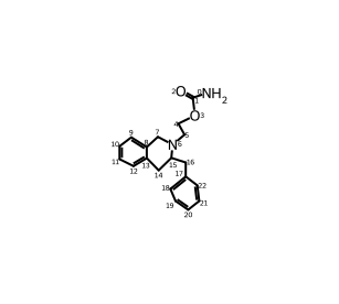 NC(=O)OCCN1Cc2ccccc2CC1Cc1ccccc1